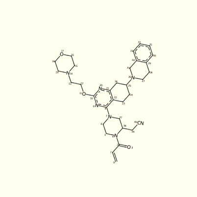 C=CC(=O)N1CCN(c2nc(OCCN3CCOCC3)nc3c2CCC(N2CCc4ccccc4C2)C3)CC1CC#N